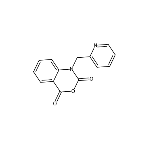 O=c1oc(=O)n(Cc2ccccn2)c2ccccc12